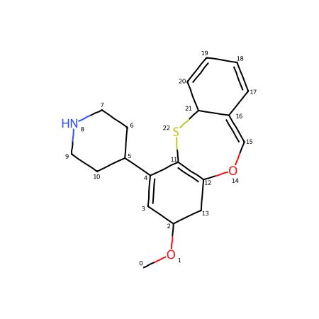 COC1C=C(C2CCNCC2)C2=C(C1)OC=C1C=CC=CC1S2